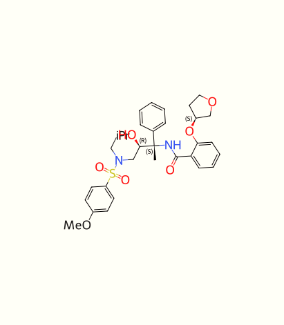 COc1ccc(S(=O)(=O)N(CC(C)C)C[C@@H](O)[C@@](C)(NC(=O)c2ccccc2O[C@H]2CCOC2)c2ccccc2)cc1